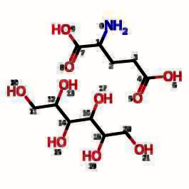 NC(CCC(=O)O)C(=O)O.OCC(O)C(O)C(O)C(O)CO